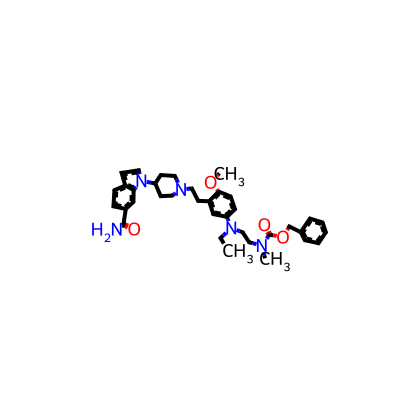 CCN(CCN(C)C(=O)OCc1ccccc1)c1ccc(OC)c(CCN2CCC(n3ccc4ccc(C(N)=O)cc43)CC2)c1